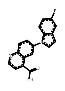 O=C(O)c1ccnc2ccc(-n3ccc4cc(F)ccc43)cc12